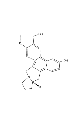 COc1cc2c3c(c4ccc(O)cc4c2cc1CO)C[C@@H]1CCCN1C3